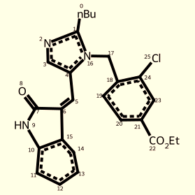 CCCCc1ncc(C=C2C(=O)Nc3ccccc32)n1Cc1ccc(C(=O)OCC)cc1Cl